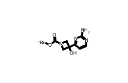 CC(C)(C)OC(=O)N1CC(O)(c2ccnc(N)n2)C1